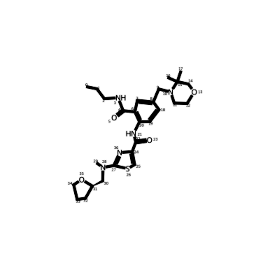 CCCNC(=O)c1cc(CN2CCOCC2(C)C)ccc1NC(=O)c1csc(N(C)C[C@H]2CCCO2)n1